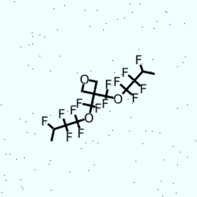 CC(F)C(F)(F)C(F)(F)OC(F)(F)C1(C(F)(F)OC(F)(F)C(F)(F)C(C)F)COC1